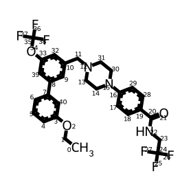 CCOc1cccc(-c2cc(CN3CCN(c4ccc(C(=O)NCC(F)(F)F)cc4)CC3)cc(OC(F)(F)F)c2)c1